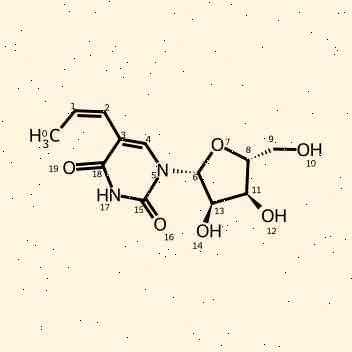 C/C=C\c1cn([C@@H]2O[C@H](CO)[C@@H](O)[C@H]2O)c(=O)[nH]c1=O